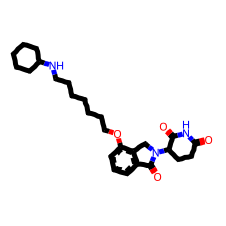 O=C1CCC(N2Cc3c(OCCCCCCCNC4CCCCC4)cccc3C2=O)C(=O)N1